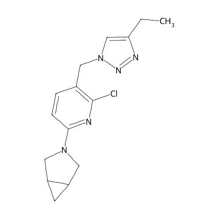 CCc1cn(Cc2ccc(N3CC4CC4C3)nc2Cl)nn1